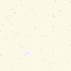 C=C/C=C\CC(C)CCN